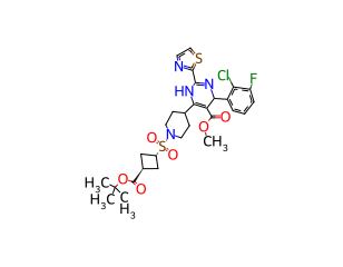 COC(=O)C1=C(C2CCN(S(=O)(=O)[C@H]3C[C@H](C(=O)OC(C)(C)C)C3)CC2)NC(c2nccs2)=NC1c1cccc(F)c1Cl